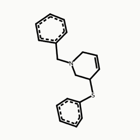 C1=CC(Sc2ccccc2)CN(Cc2ccccc2)C1